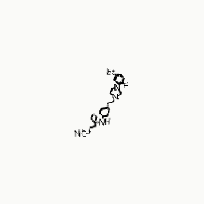 CCc1ccc(F)c(N2CCN(CC[C@H]3CC[C@H](NC(=O)CCCC#N)CC3)CC2)c1